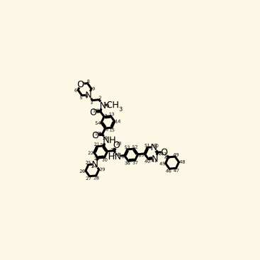 CN(CCN1CCOCC1)C(=O)c1cccc(C(=O)Nc2ccc(N3CCCCC3)cc2C(=O)Nc2ccc(-c3cnc(OC4CCCCC4)nc3)cc2)c1